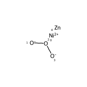 [Ni+2].[O-]O[O-].[Zn]